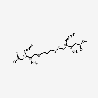 [N-]=[N+]=N[C@@H](CS(=O)O)[C@@H](N)CSSCCSSC[C@H](N=[N+]=[N-])[C@@H](N)CS(=O)O